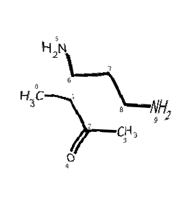 CCC(C)=O.NCCCN